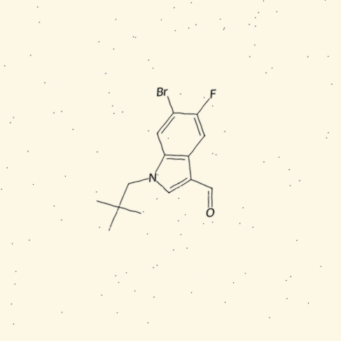 CC(C)(C)Cn1cc(C=O)c2cc(F)c(Br)cc21